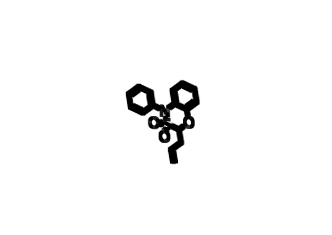 C=CCC1Oc2ccccc2N(c2ccccc2)S1(=O)=O